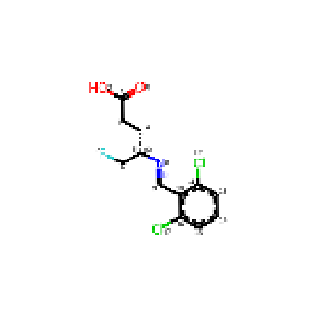 O=C(O)CC[C@@H](CF)/N=C/c1c(Cl)cccc1Cl